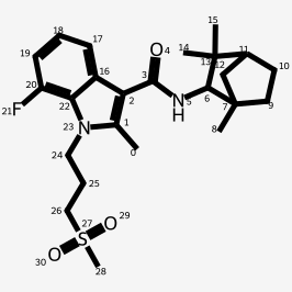 Cc1c(C(=O)NC2C3(C)CCC(C3)C2(C)C)c2cccc(F)c2n1CCCS(C)(=O)=O